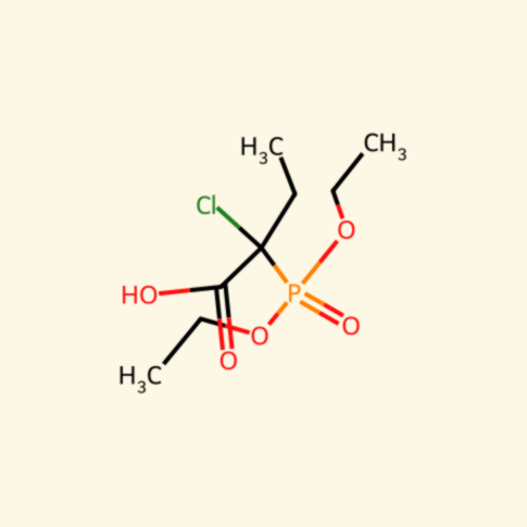 CCOP(=O)(OCC)C(Cl)(CC)C(=O)O